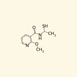 COc1ncccc1C(=O)NC(C)S